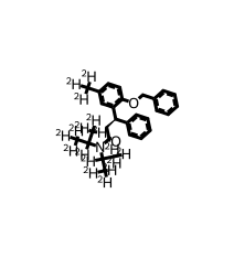 [2H]C([2H])([2H])c1ccc(OCc2ccccc2)c([C@H](CC(=O)N(C([2H])(C([2H])([2H])[2H])C([2H])([2H])[2H])C([2H])(C([2H])([2H])[2H])C([2H])([2H])[2H])c2ccccc2)c1